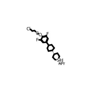 CCC[Si@H]1CC[C@H](C2CCC(c3cc(F)c(OCCCCl)c(F)c3)CC2)CC1